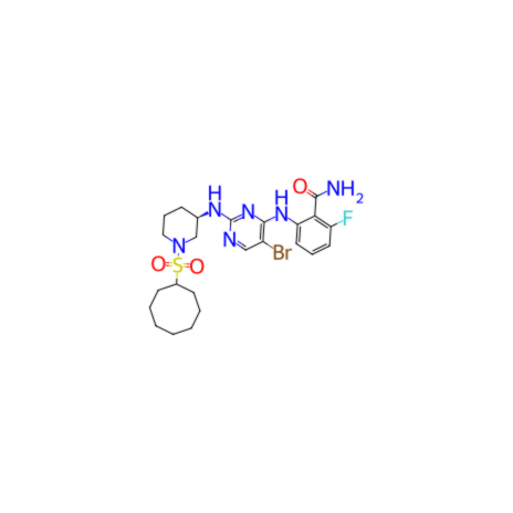 NC(=O)c1c(F)cccc1Nc1nc(N[C@@H]2CCCN(S(=O)(=O)C3CCCCCCC3)C2)ncc1Br